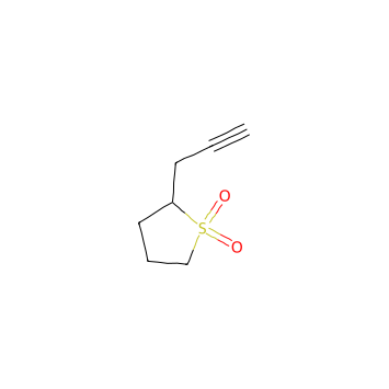 C#CCC1CCCS1(=O)=O